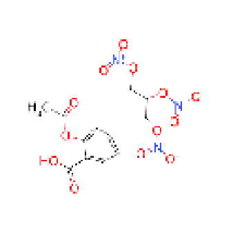 CC(=O)Oc1ccccc1C(=O)O.O=[N+]([O-])OCC(CO[N+](=O)[O-])O[N+](=O)[O-]